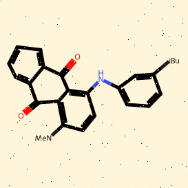 CCC(C)c1cccc(Nc2ccc(NC)c3c2C(=O)c2ccccc2C3=O)c1